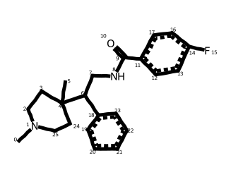 CN1CCC(C)(C(CNC(=O)c2ccc(F)cc2)c2ccccc2)CC1